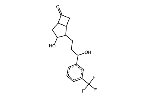 O=C1CC2C1CC(O)C2CCC(O)c1cccc(C(F)(F)F)c1